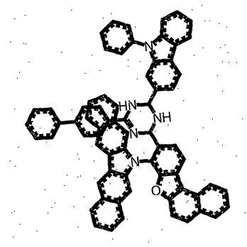 c1ccc(-c2ccc(C3=NC(c4ccc5c(oc6ccc7ccccc7c65)c4-n4c5cc6ccccc6cc5c5cc6ccccc6cc54)NC(c4ccc5c6ccccc6n(-c6ccccc6)c5c4)N3)cc2)cc1